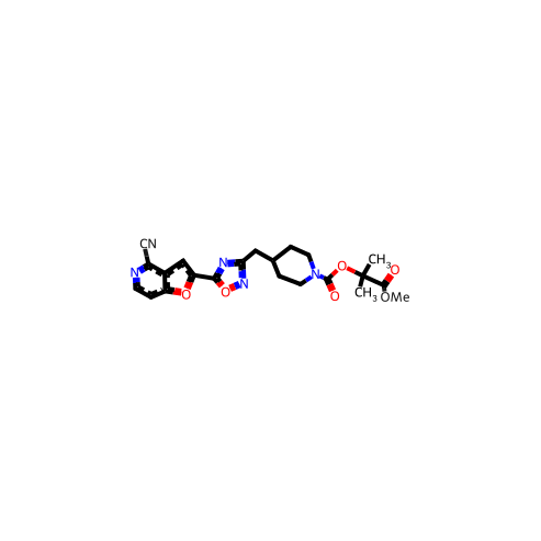 COC(=O)C(C)(C)OC(=O)N1CCC(Cc2noc(-c3cc4c(C#N)nccc4o3)n2)CC1